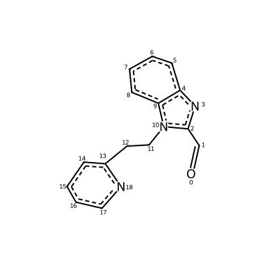 O=Cc1nc2ccccc2n1CCc1ccccn1